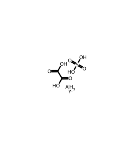 O=C(O)C(=O)O.O=S(=O)(O)O.[AlH3].[Y]